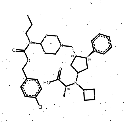 CCCN(C(=O)OCc1ccc(Cl)cc1)C1CCN(C[C@H]2CC(N(C3CCC3)[C@@H](C)C(=O)O)C[C@@H]2c2ccccc2)CC1